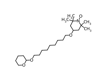 CC1(C)CC(OCCCCCCCCCOC2CCCCO2)CC(C)(C)N1[O]